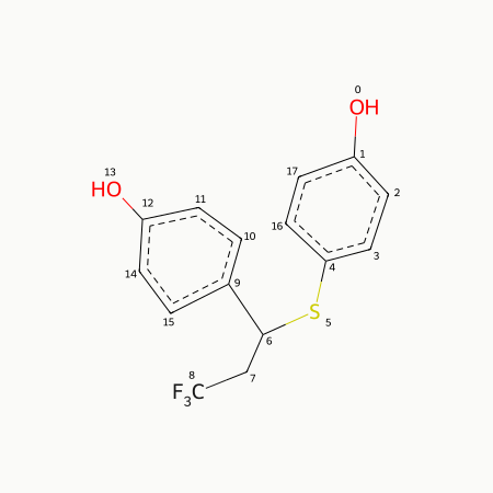 Oc1ccc(SC(CC(F)(F)F)c2ccc(O)cc2)cc1